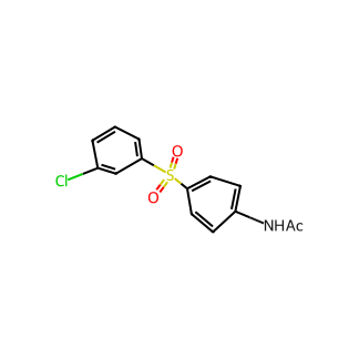 CC(=O)Nc1ccc(S(=O)(=O)c2cccc(Cl)c2)cc1